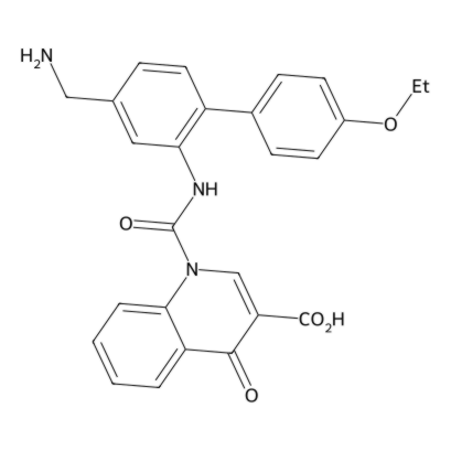 CCOc1ccc(-c2ccc(CN)cc2NC(=O)n2cc(C(=O)O)c(=O)c3ccccc32)cc1